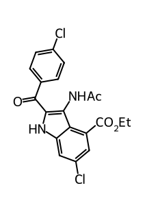 CCOC(=O)c1cc(Cl)cc2[nH]c(C(=O)c3ccc(Cl)cc3)c(NC(C)=O)c12